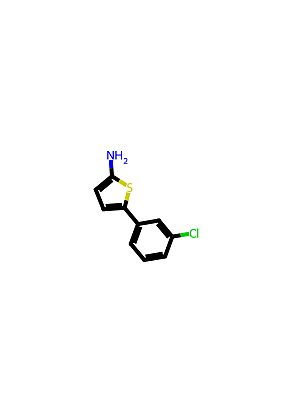 Nc1ccc(-c2cccc(Cl)c2)s1